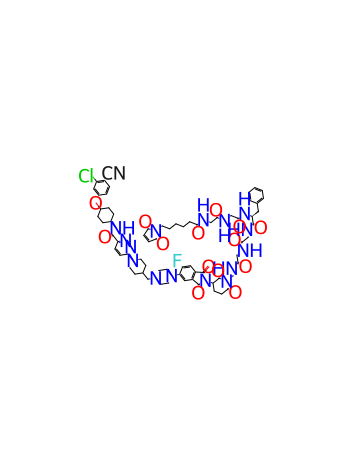 N#Cc1ccc(OC2CCC(NC(=O)c3ccc(N4CCC(CN5CCN(c6cc7c(cc6F)C(=O)N(C6CCC(=O)N(CNC(=O)CNC(=O)CNC(=O)[C@H](Cc8ccccc8)NC(=O)CNC(=O)CNC(=O)CCCCCN8C(=O)C=CC8=O)C6=O)C7=O)CC5)CC4)nn3)CC2)cc1Cl